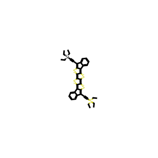 CC[Si](C#CC1=c2sc3c(sc4c5sc6c(c5sc34)-c3ccccc3C=6C#CS(CC)(CC)CC)c2-c2ccccc21)(CC)CC